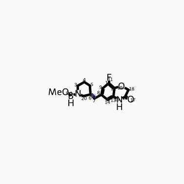 COBN1CCC/C(=C\c2cc(F)c3c(c2)NC(=O)CO3)C1